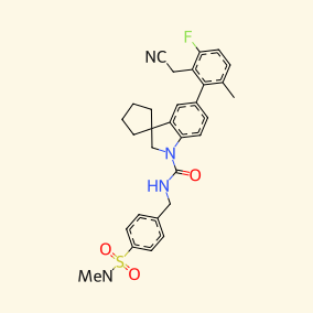 CNS(=O)(=O)c1ccc(CNC(=O)N2CC3(CCCC3)c3cc(-c4c(C)ccc(F)c4CC#N)ccc32)cc1